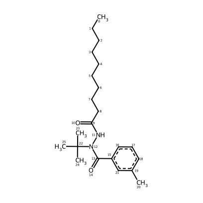 CCCCCCCCCC(=O)NN(C(=O)c1cccc(C)c1)C(C)(C)C